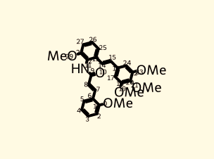 COc1ccccc1/C=C/C(=O)Nc1c(C=Cc2cc(OC)c(OC)c(OC)c2)cccc1OC